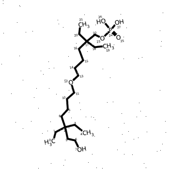 CCC(CC)(CCO)CCCCOCCCCC(CC)(CC)COP(=O)(O)O